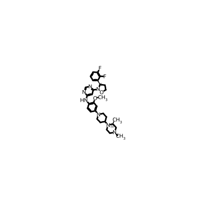 COc1cc(N2CCC(N3CCN(C)C[C@@H]3C)CC2)ccc1Nc1cc(N2OCC[C@@H]2c2cccc(F)c2F)ncn1